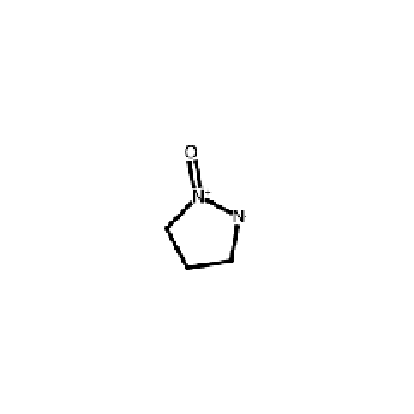 O=[N+]1CCC[N]1